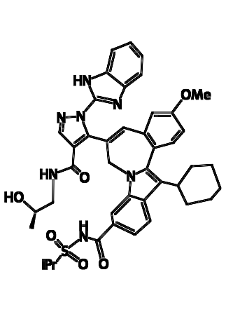 COc1ccc2c(c1)C=C(c1c(C(=O)NC[C@@H](C)O)cnn1-c1nc3ccccc3[nH]1)Cn1c-2c(C2CCCCC2)c2ccc(C(=O)NS(=O)(=O)C(C)C)cc21